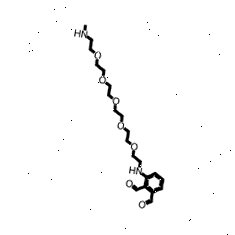 CNCCOCCOCCOCCOCCOCCNc1cccc(C=O)c1C=O